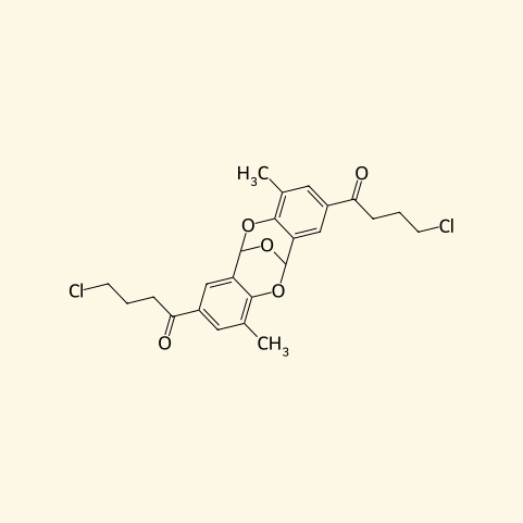 Cc1cc(C(=O)CCCCl)cc2c1OC1OC2Oc2c(C)cc(C(=O)CCCCl)cc21